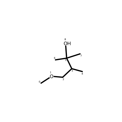 COCC(C)C(C)(C)O